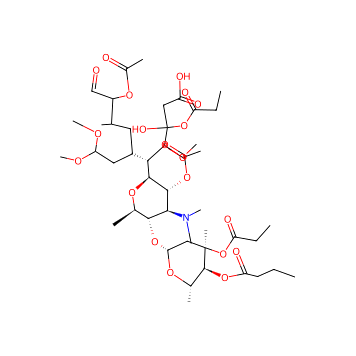 CCCC(=O)O[C@H]1[C@H](C)O[C@H](O[C@H]2[C@H](N(C)C)[C@@H](OC(C)=O)[C@H]([C@H](C(CC(OC)OC)CC(C)C(C=O)OC(C)=O)C(OC)C(O)(CC(=O)O)OC(=O)CC)O[C@@H]2C)C[C@@]1(C)OC(=O)CC